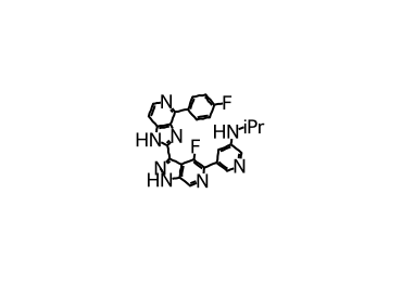 CC(C)Nc1cncc(-c2ncc3[nH]nc(-c4nc5c(-c6ccc(F)cc6)nccc5[nH]4)c3c2F)c1